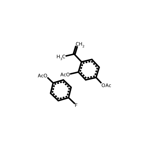 C=C(C)c1ccc(OC(C)=O)cc1OC(C)=O.CC(=O)Oc1ccc(F)cc1